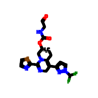 CCC1=C(c2ccn(C(F)F)n2)CN=C(c2nccs2)N1CCOC(=O)NCC=O